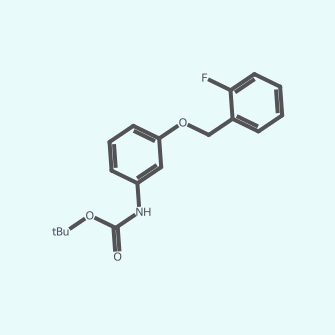 CC(C)(C)OC(=O)Nc1cccc(OCc2ccccc2F)c1